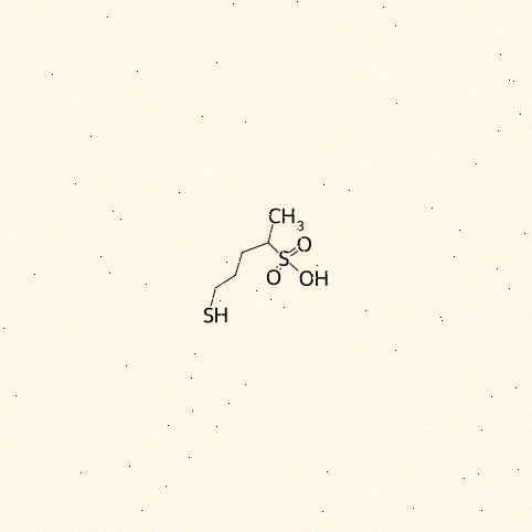 CC(CCCS)S(=O)(=O)O